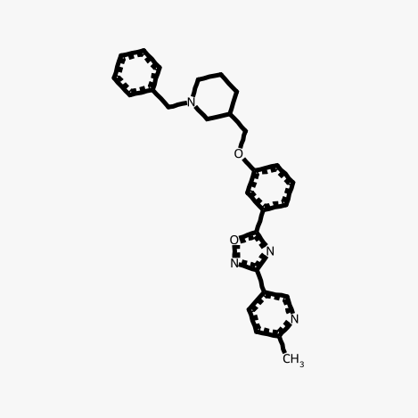 Cc1ccc(-c2noc(-c3cccc(OCC4CCCN(Cc5ccccc5)C4)c3)n2)cn1